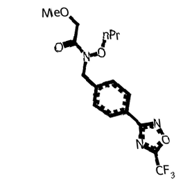 CCCON(Cc1ccc(-c2noc(C(F)(F)F)n2)cc1)C(=O)COC